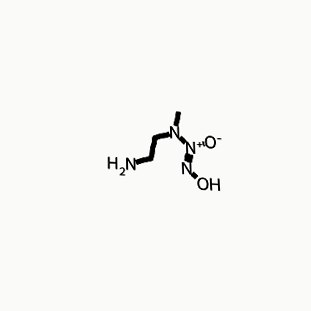 CN(CCN)[N+]([O-])=NO